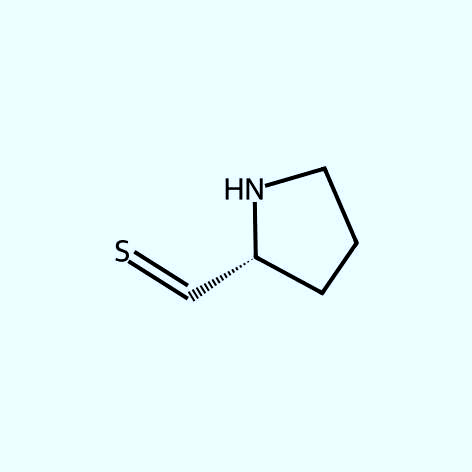 S=C[C@H]1CCCN1